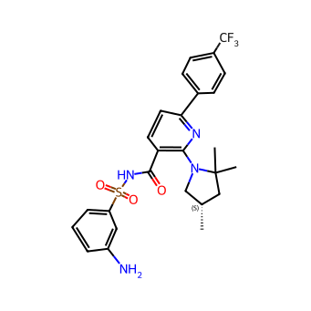 C[C@@H]1CN(c2nc(-c3ccc(C(F)(F)F)cc3)ccc2C(=O)NS(=O)(=O)c2cccc(N)c2)C(C)(C)C1